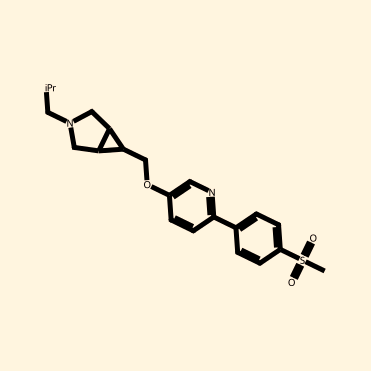 CC(C)CN1CC2C(COc3ccc(-c4ccc(S(C)(=O)=O)cc4)nc3)C2C1